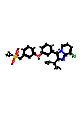 CC(C)c1nc2c(Cl)cccn2c1-c1cccc(Oc2cccc(CS(C)(=O)=O)c2)c1